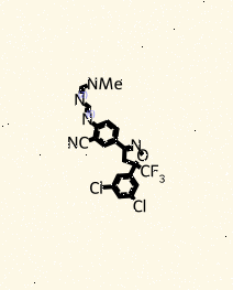 CN/C=N\C=N\c1ccc(C2=NOC(c3cc(Cl)cc(Cl)c3)(C(F)(F)F)C2)cc1C#N